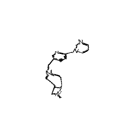 CN1CC2CN(Cc3ccc(N4C=CC=NC4)nc3)CC21